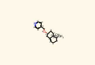 CC1CCC=C2C[C@@H](OCc3ccncc3)CC[C@@]21C